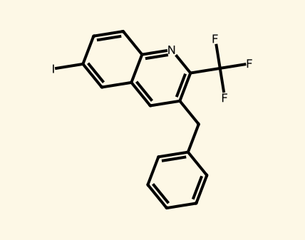 FC(F)(F)c1nc2ccc(I)cc2cc1Cc1ccccc1